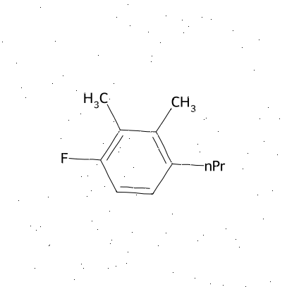 CCCc1ccc(F)c(C)c1C